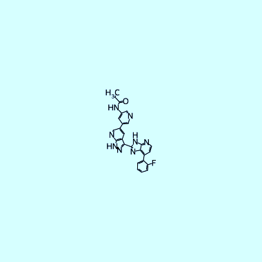 CCC(=O)Nc1cncc(-c2cnc3[nH]nc(-c4nc5c(-c6ccccc6F)ccnc5[nH]4)c3c2)c1